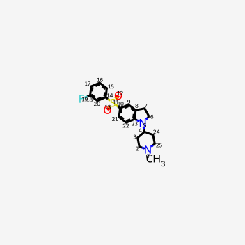 CN1CCC(N2CCc3cc(S(=O)(=O)c4cccc(F)c4)ccc32)CC1